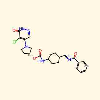 O=C(NC1CCC(/C=N/C(=O)c2ccccc2)CC1)O[C@@H]1CCN(c2cn[nH]c(=O)c2Cl)C1